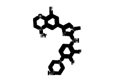 CC(C)N1CCOc2c(F)cc(-c3cn(C)c(Nc4ccc(N5CCNCC5)c(F)c4F)n3)cc21